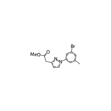 COC(=O)Cc1ccn(-c2cc(C)cc(Br)c2)n1